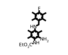 CCOC(=O)Nc1c(C)c(C)c(NCc2c(C)c(C)c(F)c(C)c2C)c(C)c1N